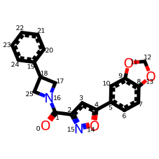 O=C(c1cc(-c2ccc3c(c2)OCO3)on1)N1CC(c2ccccc2)C1